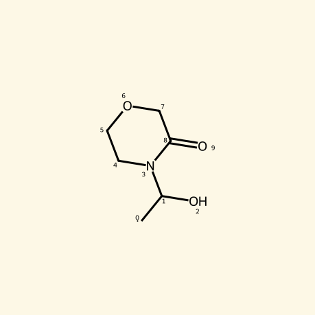 [CH2]C(O)N1CCOCC1=O